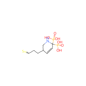 O=P(O)(O)C1(P(=O)(O)O)C=CC(CCC=S)CN1